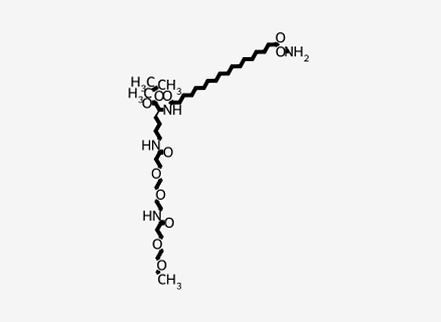 CCOCCOCCC(=O)NCCOCCOCCC(=O)NCCCC[C@H](NC(=O)CCCCCCCCCCCCCCCCC(=O)ON)C(=O)OC(C)(C)C